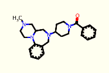 CN1CCN2c3ccccc3CN(C3CCN(C(=O)c4ccccc4)CC3)CC2C1